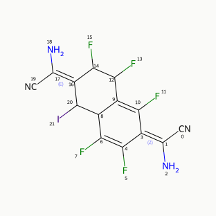 N#C/C(N)=C1/C(F)=C(F)C2C(=C1F)C(F)C(F)/C(=C(\N)C#N)C2I